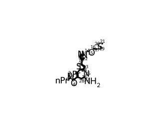 CCCN(CCC)C(=O)C1=Cc2sc(-c3cnn(COCCS(C)(C)C)c3)cc2N=C(N)C1